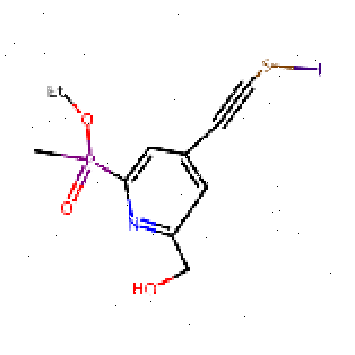 CCOP(C)(=O)c1cc(C#CSI)cc(CO)n1